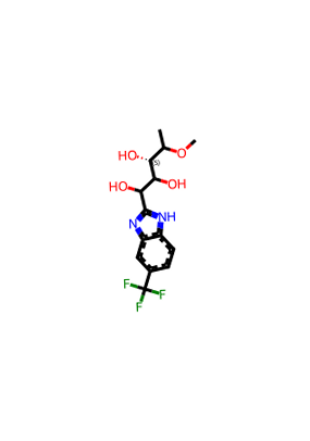 COC(C)[C@@H](O)C(O)C(O)c1nc2cc(C(F)(F)F)ccc2[nH]1